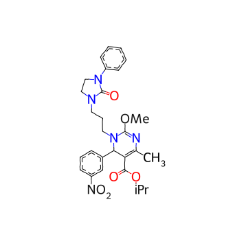 COC1=NC(C)=C(C(=O)OC(C)C)C(c2cccc([N+](=O)[O-])c2)N1CCCN1CCN(c2ccccc2)C1=O